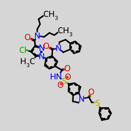 CCCCN(CCCC)C(=O)c1nn(-c2ccc(C(=O)NS(=O)(=O)c3ccc4c(c3)CCN4C(=O)CSc3ccccc3)cc2C(=O)N2CCc3ccccc3C2)c(C)c1Cl